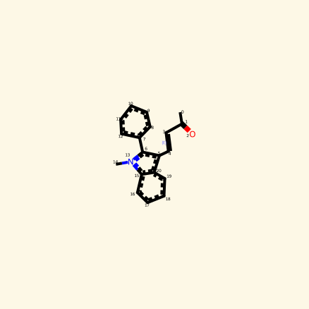 CC(=O)/C=C/c1c(-c2ccccc2)n(C)c2ccccc12